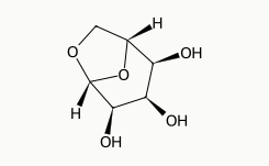 O[C@H]1[C@@H](O)[C@@H]2OC[C@@H](O2)[C@H]1O